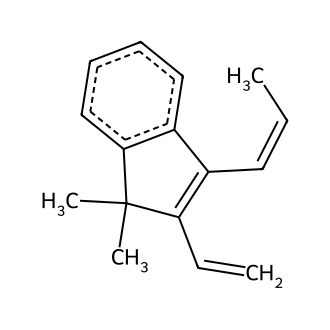 C=CC1=C(/C=C\C)c2ccccc2C1(C)C